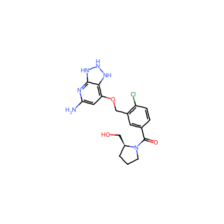 Nc1cc(OCc2cc(C(=O)N3CCC[C@H]3CO)ccc2Cl)c2c(n1)NNN2